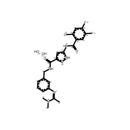 CC(=Nc1cccc(CNC(=O)c2cc(NC(=O)c3cc(F)c(F)cc3Cl)[nH]n2)c1)N(C)C.Cl.Cl